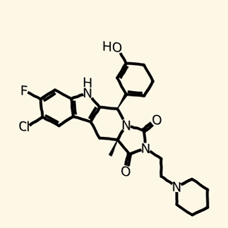 C[C@@]12Cc3c([nH]c4cc(F)c(Cl)cc34)[C@@H](C3=CCCC(O)=C3)N1C(=O)N(CCN1CCCCC1)C2=O